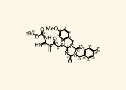 COc1ccc(Cn2c(NCC(=O)NC(=N)NC(=O)OC(C)(C)C)nc(=O)n(Cc3ccc(F)cc3)c2=O)cc1